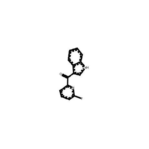 O=C(c1cccc(F)n1)c1c[nH]c2ccccc12